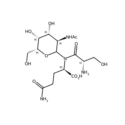 CC(=O)N[C@H]1C(N(C(=O)[C@@H](N)CO)[C@H](CCC(N)=O)C(=O)O)O[C@H](CO)[C@H](O)[C@@H]1O